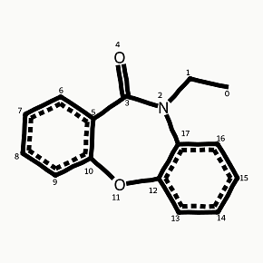 CCN1C(=O)c2ccccc2Oc2ccccc21